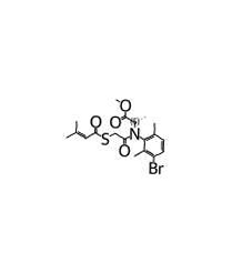 COC(=O)[C@H](C)N(C(=O)CSC(=O)C=C(C)C)c1c(C)ccc(Br)c1C